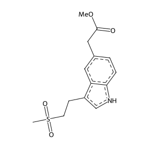 COC(=O)Cc1ccc2[nH]cc(CCS(C)(=O)=O)c2c1